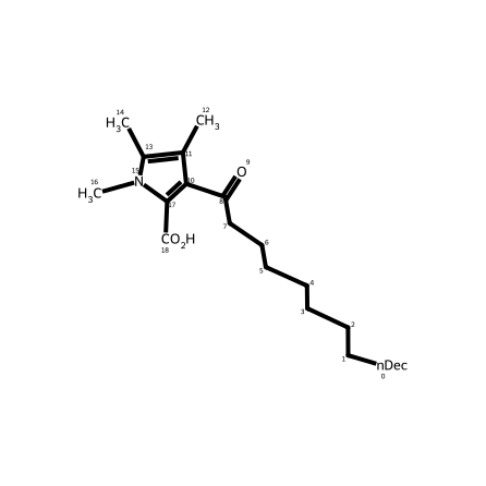 CCCCCCCCCCCCCCCCCC(=O)c1c(C)c(C)n(C)c1C(=O)O